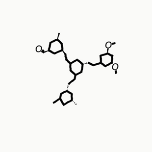 COC1CC(CC[C@H]2CC(CC[C@@H]3C[C@H](C)C[C@H](C=O)C3)CC(CC[C@H]3CC(C)C[C@@H](C)C3)C2)C[C@@H](OC)C1